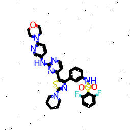 O=S(=O)(Nc1cccc(-c2nc(N3CCCCC3)sc2-c2ccnc(Nc3ccc(N4CCOCC4)nc3)n2)c1)c1c(F)cccc1F